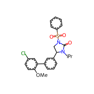 COc1ccc(Cl)cc1-c1cccc(C2CN(S(=O)(=O)c3ccccc3)C(=O)N2C(C)C)c1